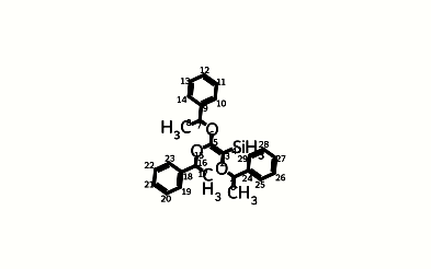 CC(OC([SiH3])=C(OC(C)c1ccccc1)OC(C)c1ccccc1)c1ccccc1